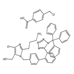 CCCCc1nc(Cl)c(CO)n1Cc1ccc(-c2ccccc2-c2nnnn2C(c2ccccc2)(c2ccccc2)c2ccccc2)cc1.O=C(O)c1ccc(CCl)cc1